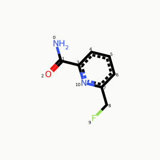 NC(=O)c1cccc(CF)n1